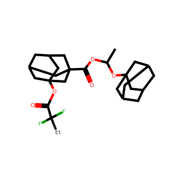 CCC(F)(F)C(=O)OC12CC3CC(C1)CC(C(=O)OC(C)OC14CC5CC(CC(C5)C1)C4)(C3)C2